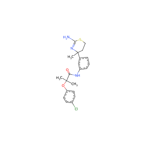 CC(C)(Oc1ccc(Cl)cc1)C(=O)Nc1cccc(C2(C)CCSC(N)=N2)c1